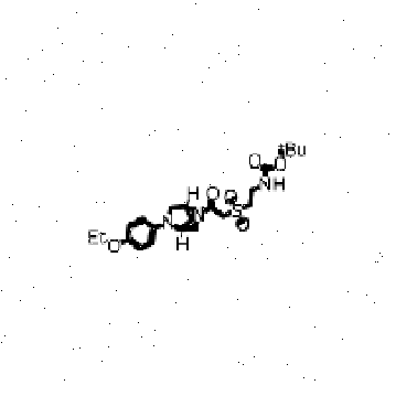 CCOc1ccc(N2C[C@@H]3C[C@H]2CN3C(=O)CS(=O)(=O)CCNC(=O)OC(C)(C)C)cc1